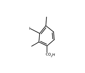 Cc1ccc(C(=O)O)c(C)c1I